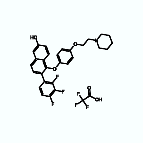 O=C(O)C(F)(F)F.Oc1ccc2c(Oc3ccc(OCCN4CCCCC4)cc3)c(-c3ccc(F)c(F)c3F)ccc2c1